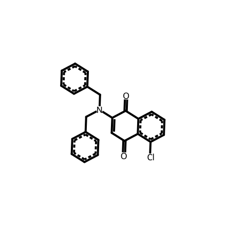 O=C1C(N(Cc2ccccc2)Cc2ccccc2)=CC(=O)c2c(Cl)cccc21